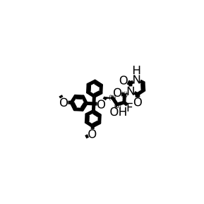 COc1ccc(C(OC[C@H]2O[C@H](n3c(=O)cc[nH]c3=O)C(F)[C@H]2O)(c2ccccc2)c2ccc(OC)cc2)cc1